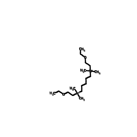 CCOCC[N+](C)(C)CCCCC[N+](C)(C)CCOCC